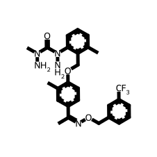 CC(=NOCc1cccc(C(F)(F)F)c1)c1ccc(OCc2c(C)cccc2N(N)C(=O)N(C)N)c(C)c1